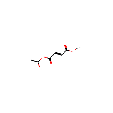 CCCCOC(=O)/C=C/C(=O)OC(C)O